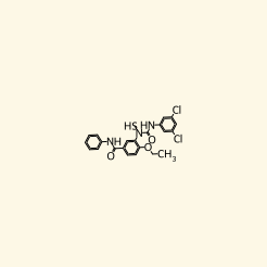 CCOc1ccc(C(=O)Nc2ccccc2)cc1N(S)C(=O)Nc1cc(Cl)cc(Cl)c1